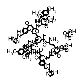 Cc1cc(C)c(S(=O)(=O)N[C@@H](CNC(=O)c2cn(CCCNC(=O)[C@H](CS(=O)(=O)O)NC(=O)CC[C@H](N)C(=O)N[C@H](CCCCN3c4cc(CNc5ncc[nH]5)ccc4C(=O)CC3C(=O)NC[C@H](NS(=O)(=O)c3c(C)cc(C)cc3C)C(=O)O)CS(=O)(=O)O)c3cc(CNc4ncc[nH]4)ccc3c2=O)C(=O)O)c(C)c1.O=C(O)C(F)(F)F